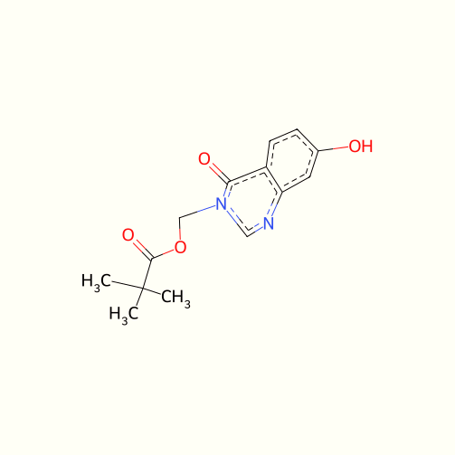 CC(C)(C)C(=O)OCn1cnc2cc(O)ccc2c1=O